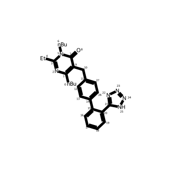 CCCCc1nc(CC)n(CCCC)c(=O)c1Cc1ccc(-c2ccccc2-c2nnn[nH]2)cc1